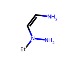 CCN(N)/C=C\N